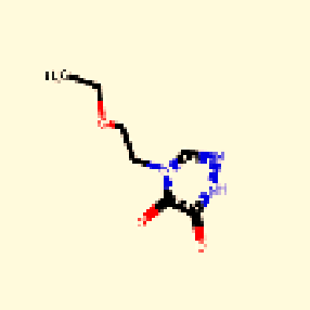 CCOCCn1[c]n[nH]c(=O)c1=O